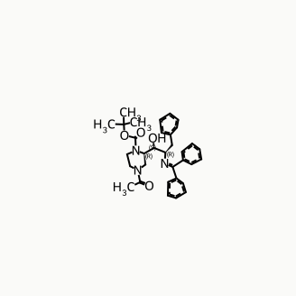 CC(=O)N1CCN(C(=O)OC(C)(C)C)[C@@H]([C@@H](O)[C@@H](Cc2ccccc2)N=C(c2ccccc2)c2ccccc2)C1